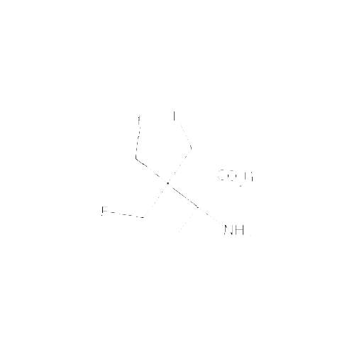 C[C@@](N)(C(=O)O)C(CF)(CF)CF